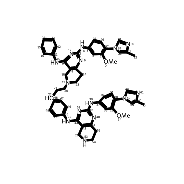 COc1cc(Nc2nc3c(c(Nc4ccccc4)n2)CN(CCO)CC3)ccc1-n1cnc(C)c1.COc1cc(Nc2nc3c(c(Nc4ccccc4)n2)CNCC3)ccc1-n1cnc(C)c1